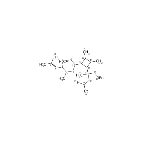 C=CC(CC(C)CC=C(C)C)C1C(C)C(C)C1C(C)(CC(C)CC)CC(F)CC